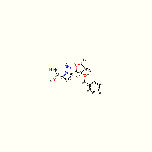 CC[C@H]1O[C@@H](c2ccc(C(N)=O)n2N)[C@](C)(OCc2ccccc2)[C@@H]1C